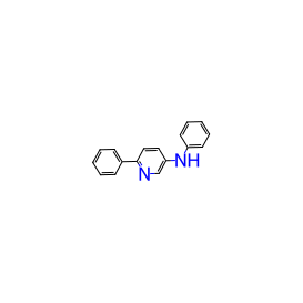 c1ccc(Nc2ccc(-c3ccccc3)nc2)cc1